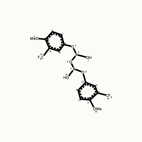 COc1ccc(OB(O)OB(O)Oc2ccc(OC)c(C(F)(F)F)c2)cc1C(F)(F)F